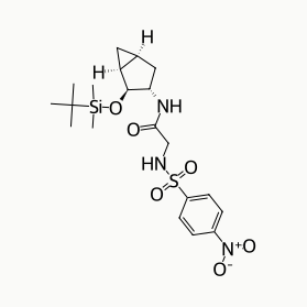 CC(C)(C)[Si](C)(C)O[C@H]1[C@H]2C[C@H]2C[C@@H]1NC(=O)CNS(=O)(=O)c1ccc([N+](=O)[O-])cc1